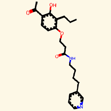 CCCc1c(OCCC(=O)NCCCCc2cccnc2)ccc(C(C)=O)c1O